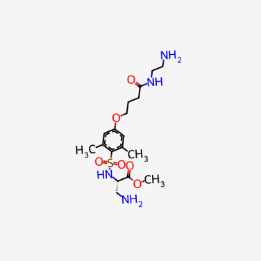 COC(=O)[C@H](CN)NS(=O)(=O)c1c(C)cc(OCCCC(=O)NCCN)cc1C